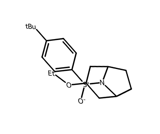 CCOC1CC2CCC(C1)N2[S+]([O-])c1ccc(C(C)(C)C)cc1